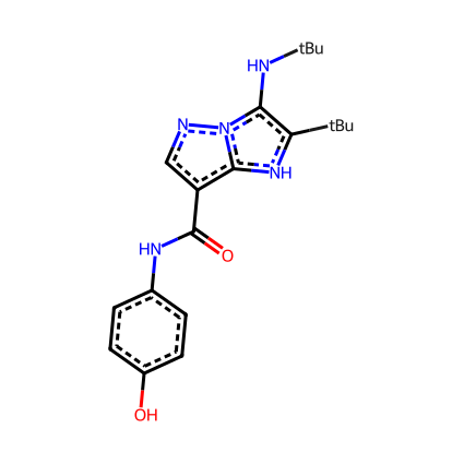 CC(C)(C)Nc1c(C(C)(C)C)[nH]c2c(C(=O)Nc3ccc(O)cc3)cnn12